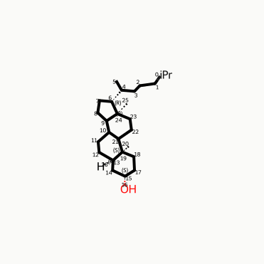 CC(C)CCCC(C)[C@H]1CCC2C3CC[C@@H]4C[C@@H](O)CC[C@]4(C)C3CC[C@@]21C